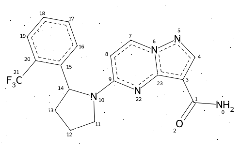 NC(=O)c1cnn2ccc(N3CCCC3c3ccccc3C(F)(F)F)nc12